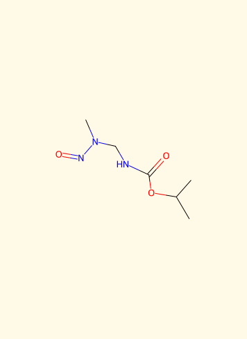 CC(C)OC(=O)NCN(C)N=O